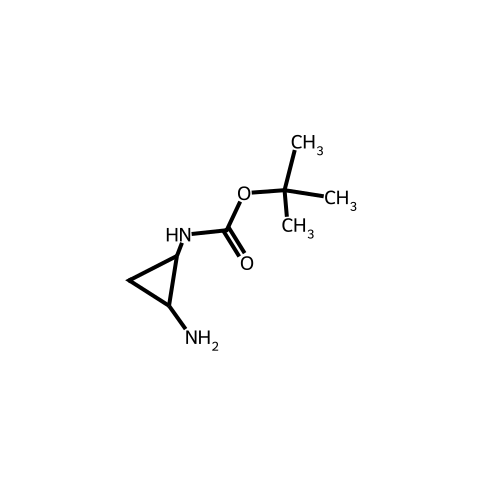 CC(C)(C)OC(=O)NC1CC1N